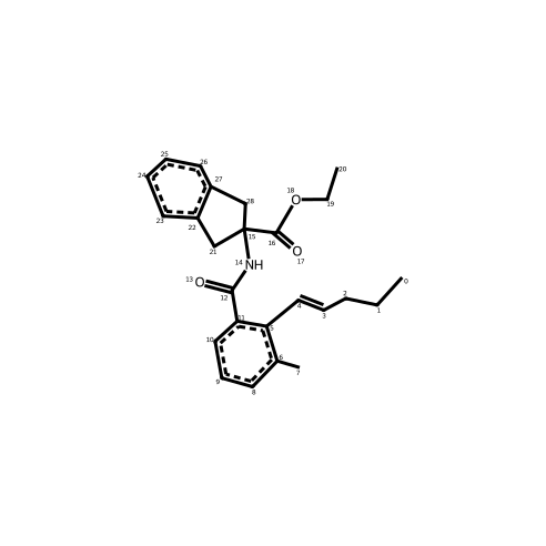 CCCC=Cc1c(C)cccc1C(=O)NC1(C(=O)OCC)Cc2ccccc2C1